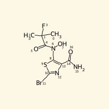 CC(C)(F)C(=O)N(O)c1sc(Br)nc1C(N)=O